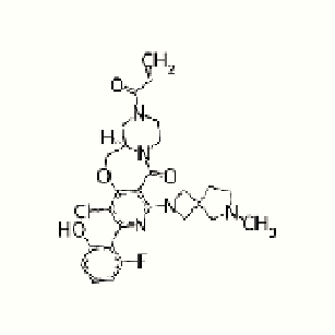 C=CC(=O)N1CCN2C(=O)c3c(N4CC5(CCN(C)C5)C4)nc(-c4c(O)cccc4F)c(Cl)c3OC[C@H]2C1